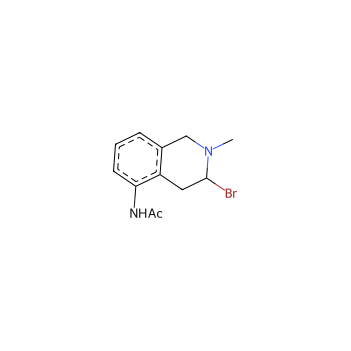 CC(=O)Nc1cccc2c1CC(Br)N(C)C2